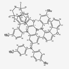 CC(C)(C)c1ccc(N2B3c4oc5cc6c(cc5c4N(c4ccc(C(C)(C)C)cc4-c4ccccc4)c4cc(N(c5ccc(C(C)(C)C)cc5)c5ccc(C(C)(C)C)cc5)cc(c43)-c3ccc4oc5ccccc5c4c32)C(C)(C)CCC6(C)C)cc1